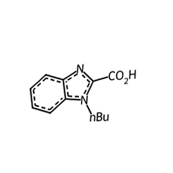 CCCCn1c(C(=O)O)nc2ccccc21